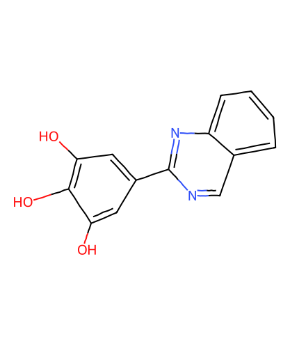 Oc1cc(-c2ncc3ccccc3n2)cc(O)c1O